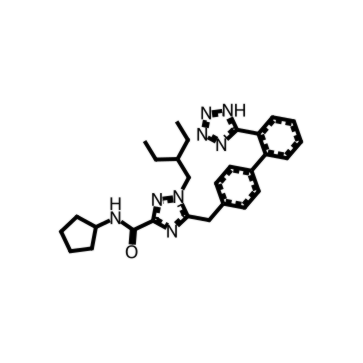 CCC(CC)Cn1nc(C(=O)NC2CCCC2)nc1Cc1ccc(-c2ccccc2-c2nnn[nH]2)cc1